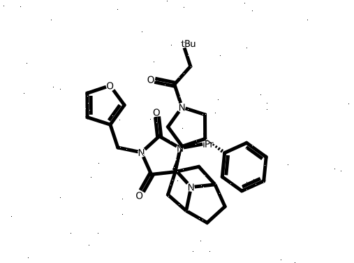 CC(C)N1C(=O)N(Cc2ccoc2)C(=O)C12CC1CCC(C2)N1C[C@H]1CN(C(=O)CC(C)(C)C)C[C@@H]1c1ccccc1